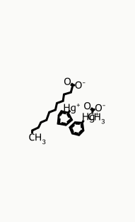 CC(=O)[O-].CCCCCCCCCCCC(=O)[O-].[Hg+][c]1ccccc1.[Hg+][c]1ccccc1